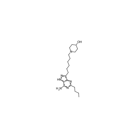 CCCCc1nc(N)c2[nH]nc(CCCCCCN3CCC(O)CC3)c2n1